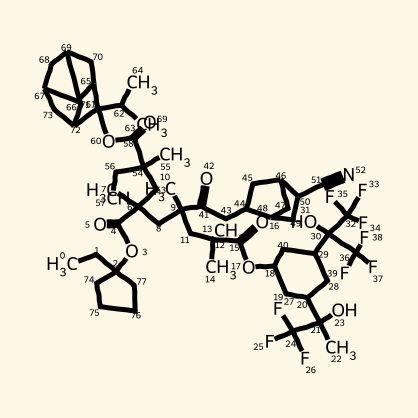 CCC1(OC(=O)C(C)(CC(C)(CC(C)(C)C(=O)OC2CC(C(C)(O)C(F)(F)F)CC(C(O)(C(F)(F)F)C(F)(F)F)C2)C(=O)CC2CC3CC2CC3C#N)CC(C)(CC)C(=O)OC2(C(C)C)C3CC4CC(C3)CC2C4)CCCC1